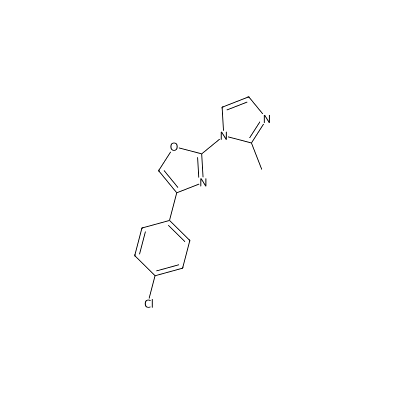 Cc1nccn1-c1nc(-c2ccc(Cl)cc2)co1